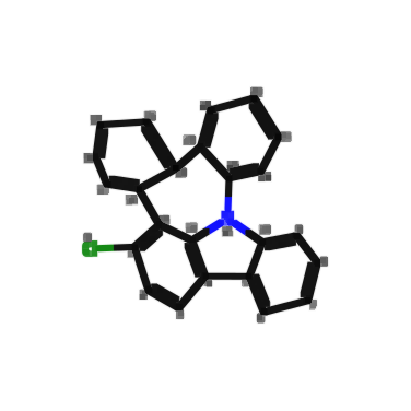 Clc1ccc2c3ccccc3n3c2c1-c1ccccc1-c1ccccc1-3